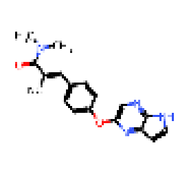 CN(C)C(=O)/C(C#N)=C/c1ccc(Oc2cnc3[nH]ccc3n2)cc1